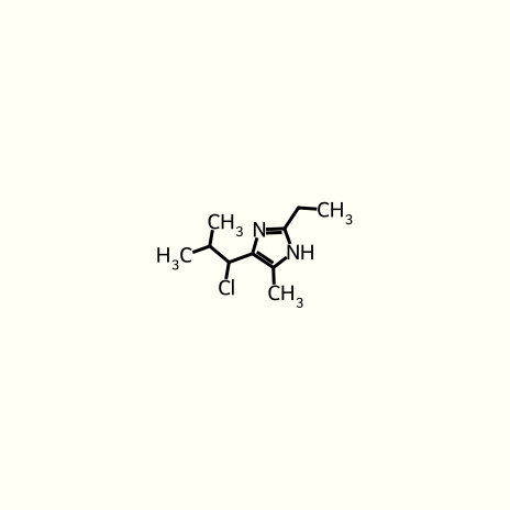 CCc1nc(C(Cl)C(C)C)c(C)[nH]1